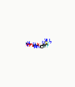 Cc1noc(COc2cnc(C(=O)Nc3ccc(F)c([C@@]4(C)N=C(N)S[C@@]5(C(F)F)C[C@@H]45)c3)cn2)n1